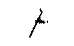 CCCC/C=C\CCCCCCCC(=O)O[C@H](COC(=O)CCCCCCCCCCCCCCCCCCCCC)COP(=O)(O)OC[C@@H](O)CO